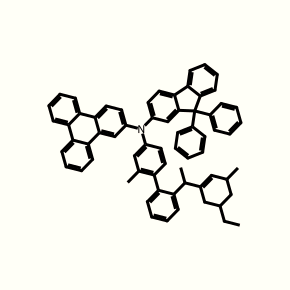 CCC1CC(C(C)c2ccccc2-c2ccc(N(c3ccc4c(c3)C(c3ccccc3)(c3ccccc3)c3ccccc3-4)c3ccc4c5ccccc5c5ccccc5c4c3)cc2C)=CC(C)C1